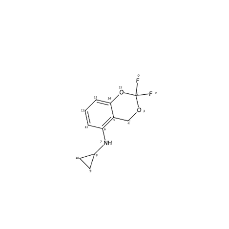 FC1(F)O[CH]c2c(NC3CC3)cccc2O1